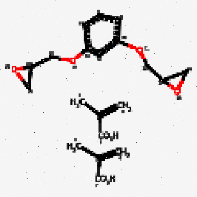 C=C(C)C(=O)O.C=C(C)C(=O)O.c1cc(OCC2CO2)cc(OCC2CO2)c1